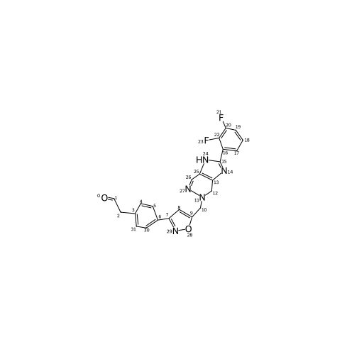 O=CCc1ccc(-c2cc(CN3Cc4nc(-c5cccc(F)c5F)[nH]c4C=N3)on2)cc1